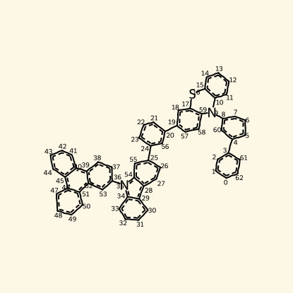 c1ccc(-c2cccc(N3c4ccccc4Sc4cc(-c5cccc(-c6ccc7c8ccccc8n(-c8ccc9c%10ccccc%10c%10ccccc%10c9c8)c7c6)c5)ccc43)c2)cc1